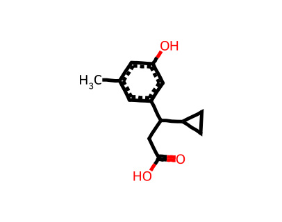 Cc1cc(O)cc(C(CC(=O)O)C2CC2)c1